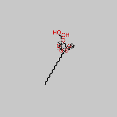 CCCCCCCCCCCCCCCCC[Si](C)(O[Si](C)(C)O[Si](C)(C)C)O[Si](C)(CCCOCC(O)CO)O[Si](C)(C)C